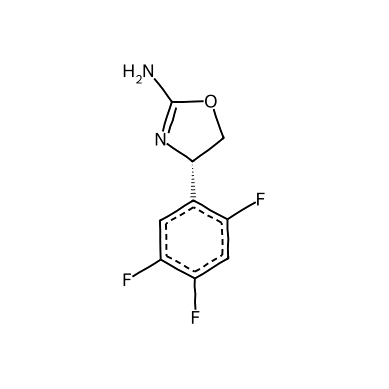 NC1=N[C@@H](c2cc(F)c(F)cc2F)CO1